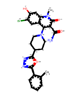 Cc1ccccc1-c1nnc(C2CCN(c3c(C(N)=O)c(=O)n(C)c4cc(O)c(Br)cc34)CC2)o1